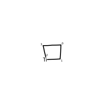 C1[CH2][Ti][CH2]1